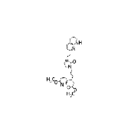 COC(=O)CC(CCCN1CC[C@@H](CCc2ccc3c(n2)NCCC3)C1=O)c1ccc(OC)nc1